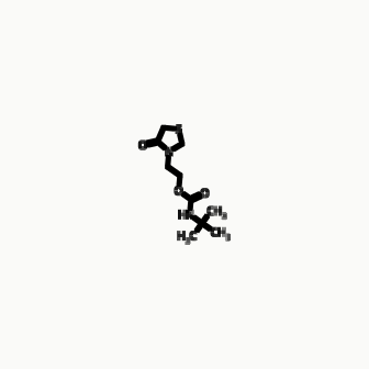 CC(C)(C)NC(=O)OCCN1CSCC1=O